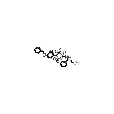 CC1(C)OC(N[C@@H](CCO)c2ccccc2)=NS(=O)(=O)C1c1ccc(OCc2ccccc2)cc1